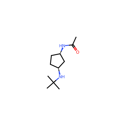 CC(=O)N[C@@H]1CC[C@H](NC(C)(C)C)C1